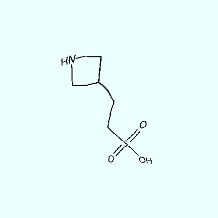 O=S(=O)(O)CCC1CNC1